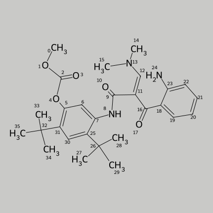 COC(=O)Oc1cc(NC(=O)/C(=C\N(C)C)C(=O)c2ccccc2N)c(C(C)(C)C)cc1C(C)(C)C